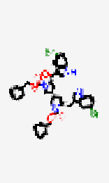 O=C(OCc1ccccc1)N1CCC[C@@H]1Cc1c[nH]c2ccc(Br)cc12.O=C(c1c[nH]c2ccc(Br)cc12)[C@H]1CCCN1C(=O)OCc1ccccc1